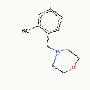 N#Cc1c[c]ccc1CN1CCOCC1